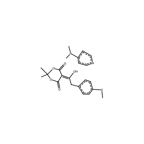 CN(C)c1ccncc1.COc1ccc(CC(O)=C2C(=O)OC(C)(C)OC2=O)cc1